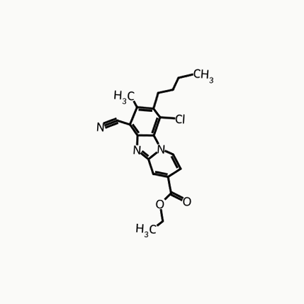 CCCCc1c(C)c(C#N)c2nc3cc(C(=O)OCC)ccn3c2c1Cl